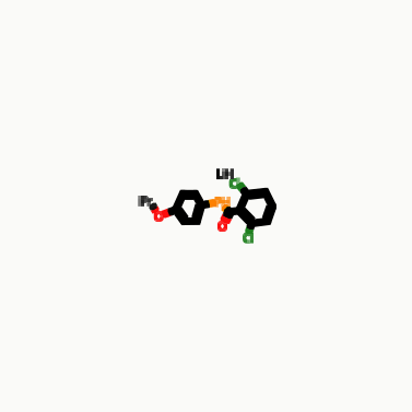 CC(C)Oc1ccc(PC(=O)c2c(Cl)cccc2Cl)cc1.[LiH]